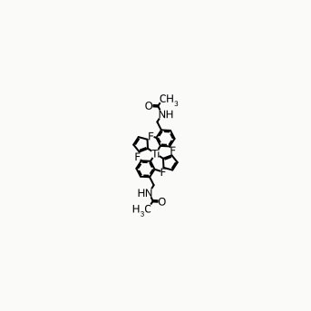 CC(=O)NCc1ccc(F)[c]([Ti]([C]2=CC=CC2)([C]2=CC=CC2)[c]2c(F)ccc(CNC(C)=O)c2F)c1F